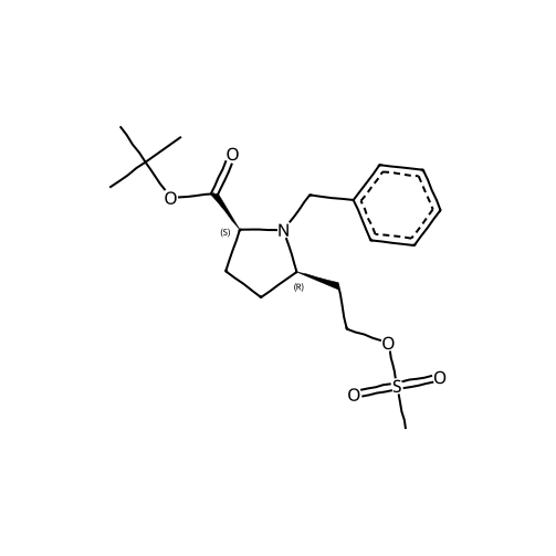 CC(C)(C)OC(=O)[C@@H]1CC[C@H](CCOS(C)(=O)=O)N1Cc1ccccc1